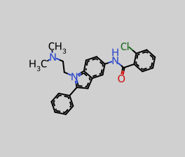 CN(C)CCn1c(-c2ccccc2)cc2cc(NC(=O)c3ccccc3Cl)ccc21